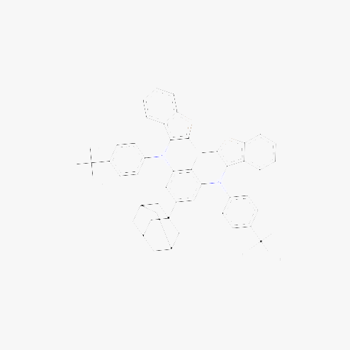 CC(C)(C)c1ccc(N2c3cc(C45CC6CC(CC(C6)C4)C5)cc4c3B(c3sc5ccccc5c32)c2sc3ccccc3c2N4c2ccc(C(C)(C)C)cc2)cc1